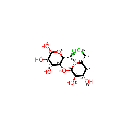 O[C@@H]1[C@@H](O)[C@@H](O)O[C@H](CCl)[C@H]1O[C@H]1O[C@H](CCl)C[C@H](O)[C@H]1O